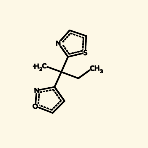 [CH2]C(CC)(c1ccon1)c1nccs1